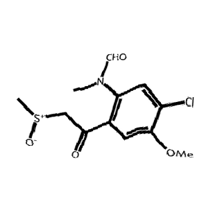 COc1cc(C(=O)C[S+](C)[O-])c(N(C)C=O)cc1Cl